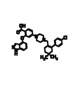 CC1(C)CCC(CN2CCN(c3ccc(C(=O)O)c(Oc4cccc5[nH]ncc45)c3)CC2)=C(c2ccc(Cl)cc2)C1